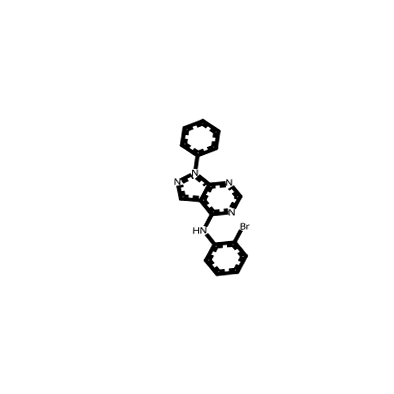 Brc1ccccc1Nc1ncnc2c1cnn2-c1ccccc1